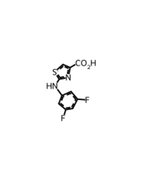 O=C(O)c1csc(Nc2cc(F)cc(F)c2)n1